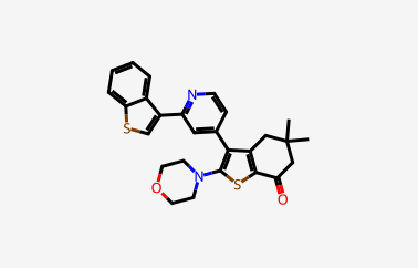 CC1(C)CC(=O)c2sc(N3CCOCC3)c(-c3ccnc(-c4csc5ccccc45)c3)c2C1